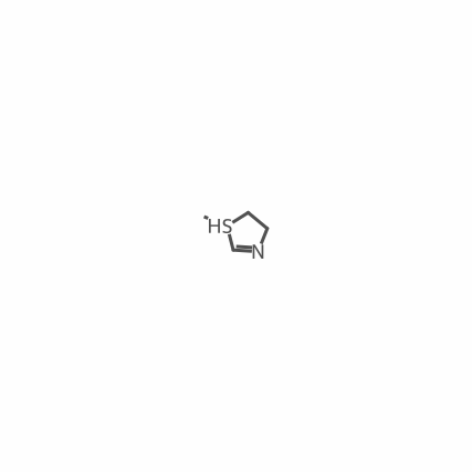 C[SH]1C=NCC1